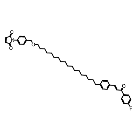 O=C(C=Cc1ccc(CCCCCCCCCCCCCCCCCCOCc2ccc(N3C(=O)C=CC3=O)cc2)cc1)c1ccc(F)cc1